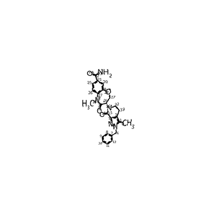 Cc1c2c(nn1Cc1ccccc1)C(=O)N([C@H]1COc3cc(C(N)=O)ccc3N(C)C1=O)CC2